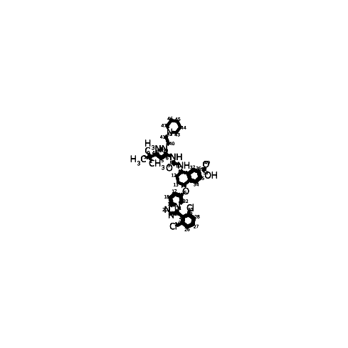 CC(C)(C)c1cc(NC(=O)N[C@H]2CC[C@@H](Oc3ccc4nnc(-c5c(Cl)cccc5Cl)n4c3)c3ccccc32)n(CCN2CCCCC2)n1.O=CO